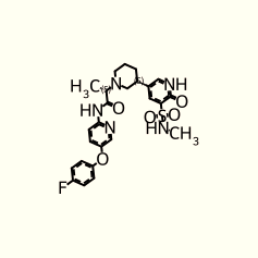 CNS(=O)(=O)c1cc([C@@H]2CCCN([C@@H](C)C(=O)Nc3ccc(Oc4ccc(F)cc4)cn3)C2)c[nH]c1=O